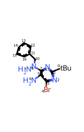 CC(C)(C)c1nc(Br)c(N)c(N(N)Cc2ccccc2)n1